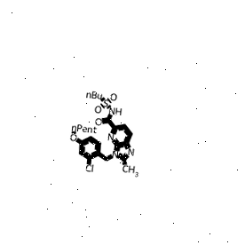 CCCCCOc1ccc(Cn2c(C)nc3ccc(C(=O)NS(=O)(=O)CCCC)nc32)c(Cl)c1